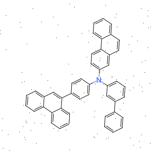 c1ccc(-c2cccc(N(c3ccc(-c4cc5ccccc5c5ccccc45)cc3)c3ccc4c(ccc5ccccc54)c3)c2)cc1